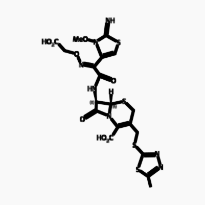 COn1c(C(=NOCC(=O)O)C(=O)N[C@@H]2C(=O)N3C(C(=O)O)=C(CSc4nnc(C)s4)CS[C@@H]23)csc1=N